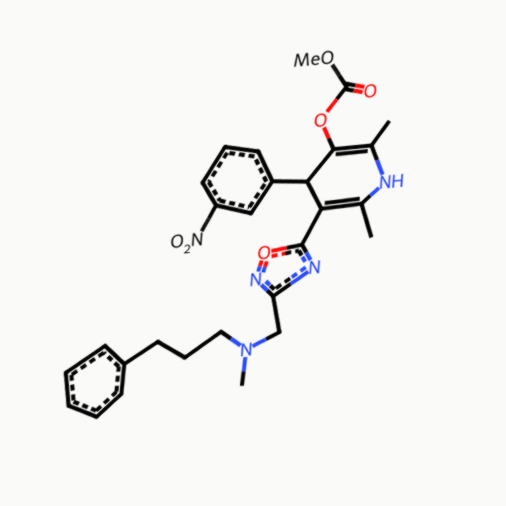 COC(=O)OC1=C(C)NC(C)=C(c2nc(CN(C)CCCc3ccccc3)no2)C1c1cccc([N+](=O)[O-])c1